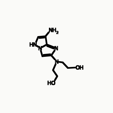 Nc1c[nH]n2cc(N(CCO)CCO)nc12